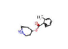 Cc1ccccc1C(=O)OC1CCNCC1